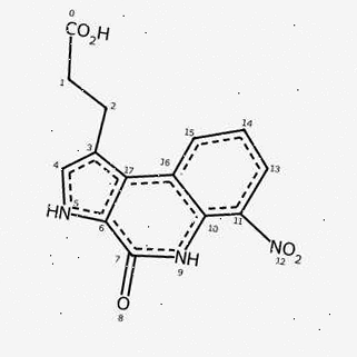 O=C(O)CCc1c[nH]c2c(=O)[nH]c3c([N+](=O)[O-])cccc3c12